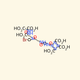 O=C(O)CC[C@H](NC(=O)N[C@@H](CCCCN(Cc1ccc(Br)cc1)C(=O)CCCCCNC(=O)c1ccc(CNC(=O)CN2CCN(CC(=O)O)CCN(CC(=O)O)CCN(CC(=O)O)CC2)cc1)C(=O)O)C(=O)O